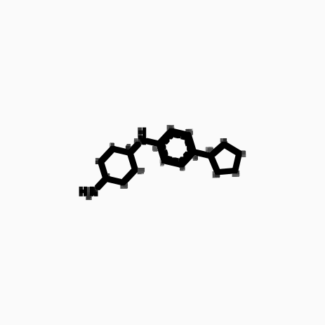 NC1CCC(Nc2ccc(C3CCCC3)cc2)CC1